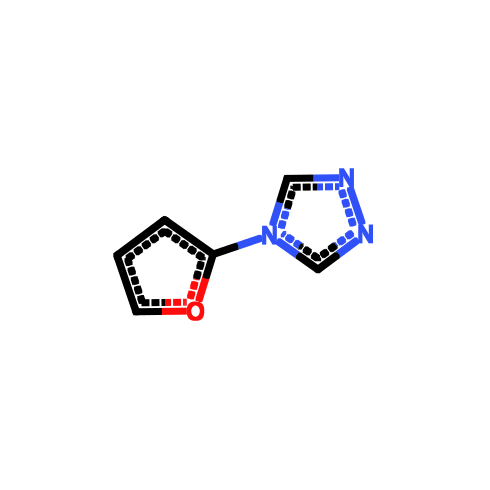 c1coc(-n2cnnc2)c1